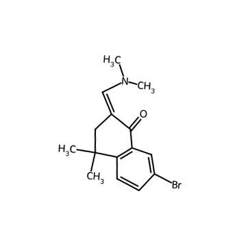 CN(C)C=C1CC(C)(C)c2ccc(Br)cc2C1=O